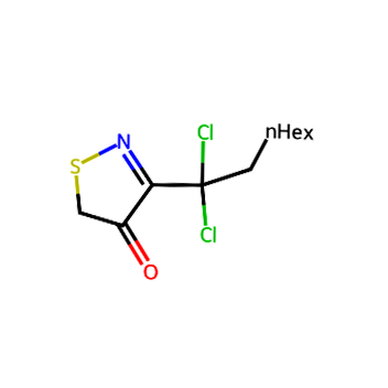 CCCCCCCC(Cl)(Cl)C1=NSCC1=O